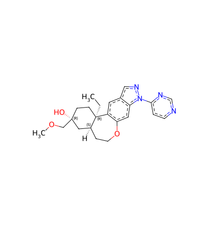 CC[C@@]12CC[C@](O)(COC)C[C@@H]1CCOc1cc3c(cnn3-c3ccncn3)cc12